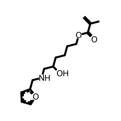 C=C(C)C(=O)OCCCCC(O)CNCc1ccco1